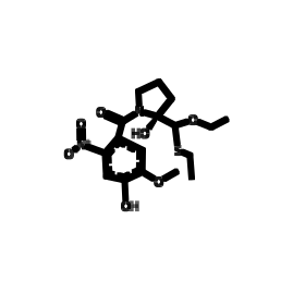 CCOC(SCC)[C@@]1(O)CCCN1C(=O)c1cc(OC)c(O)cc1[N+](=O)[O-]